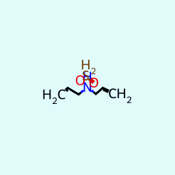 C=CCNCC=C.O=[SH2]=O